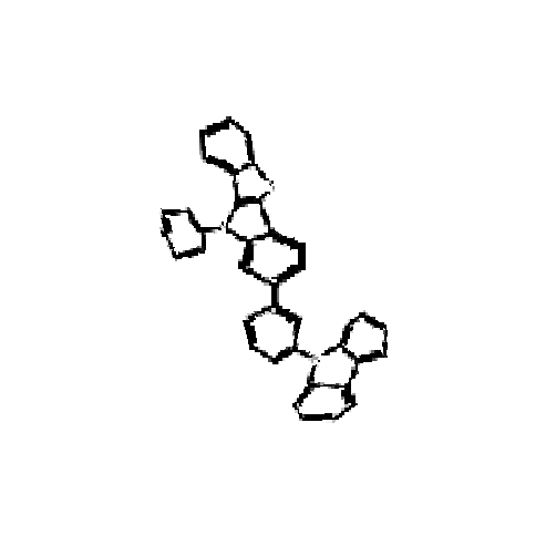 c1ccc(-n2c3cc(-c4cccc(-n5c6ccccc6c6ccccc65)c4)ccc3c3sc4ccccc4c32)cc1